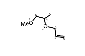 C=CCOC(C)COC